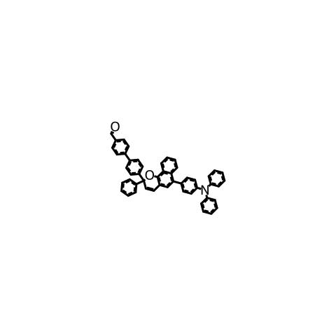 O=Cc1ccc(-c2ccc(C3(c4ccccc4)C=Cc4cc(-c5ccc(N(c6ccccc6)c6ccccc6)cc5)c5ccccc5c4O3)cc2)cc1